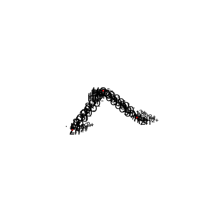 O=[Si]([O-])[O-].O=[Si]([O-])[O-].O=[Si]([O-])[O-].O=[Si]([O-])[O-].O=[Si]([O-])[O-].O=[Si]([O-])[O-].O=[Si]([O-])[O-].O=[Si]([O-])[O-].O=[Si]([O-])[O-].O=[Si]([O-])[O-].[Al+3].[Al+3].[Al+3].[Fe+3].[Fe+3].[Fe+3].[Mn+2].[Mn+2].[Mn+2].[OH-].[OH-].[OH-].[OH-].[OH-].[OH-].[OH-].[OH-].[OH-].[OH-].[Zn+2].[Zn+2].[Zn+2]